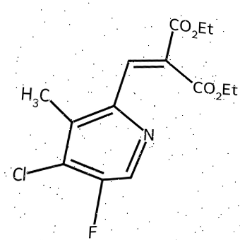 CCOC(=O)C(=Cc1ncc(F)c(Cl)c1C)C(=O)OCC